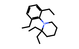 CCc1cccc(CC)c1N1CCCCC1(CC)CC